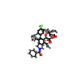 Cc1cc(Cl)ccc1-c1c(C)c2c(c(C)c1C(OC(C)(C)C)C(=O)O)CN(C(=O)C1CCCCC1)C2